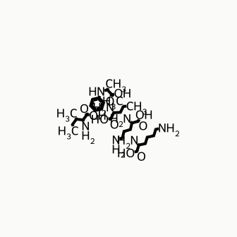 CC(C)CC(N)C(=O)O.CC(Nc1ccccc1)C(=O)O.CCC(C)C(N)C(=O)O.NCCCC(N)C(=O)O.NCCCCC(N)C(=O)O